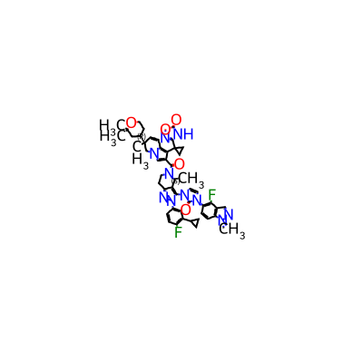 C[C@H]1c2c(nn(-c3ccc(F)c(C4CC4)c3)c2-n2ccn(-c3ccc4c(cnn4C)c3F)c2=O)CCN1C(=O)c1cn2c(c1C1(c3noc(=O)[nH]3)CC1)C=CC(C)([C@@H]1CCOC(C)(C)C1)C2